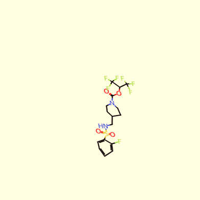 O=C(OC(C(F)(F)F)C(F)(F)F)N1CCC(CNS(=O)(=O)c2ccccc2F)CC1